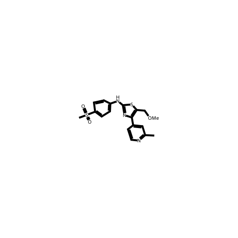 COCc1sc(Nc2ccc(S(C)(=O)=O)cc2)nc1-c1ccnc(C)c1